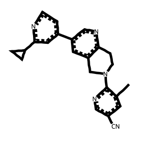 Cc1cc(C#N)cnc1N1CCc2ncc(-c3ccnc(C4CC4)c3)cc2C1